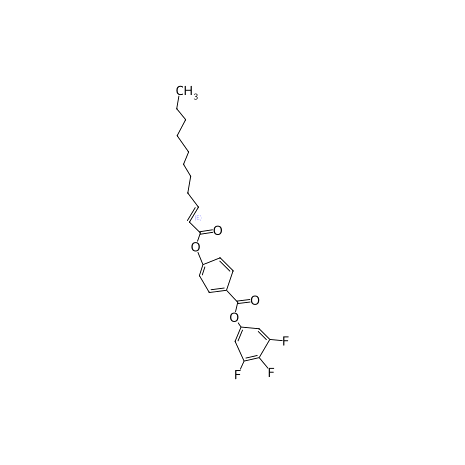 CCCCCCCC/C=C/C(=O)Oc1ccc(C(=O)Oc2cc(F)c(F)c(F)c2)cc1